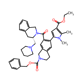 CCOC(=O)c1cc(-c2cc3c(cc2C(=O)N2Cc4ccccc4C[C@H]2CN2CCCCC2)CN(C(=O)OCc2ccccc2)CC3)n(C)c1C